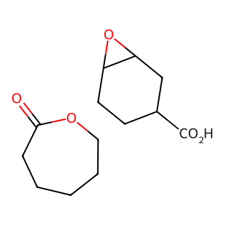 O=C(O)C1CCC2OC2C1.O=C1CCCCCO1